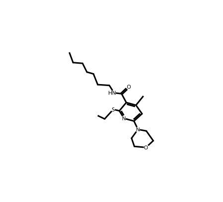 CCCCCCCNC(=O)c1c(C)cc(N2CCOCC2)nc1SCC